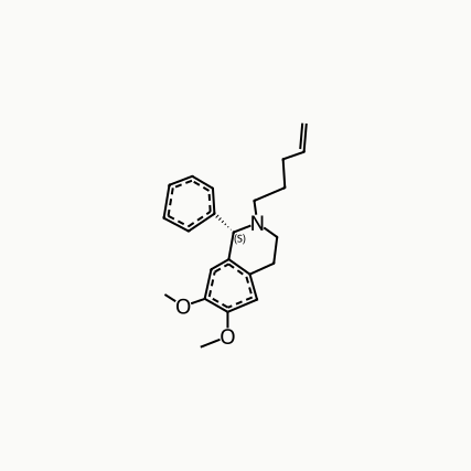 C=CCCCN1CCc2cc(OC)c(OC)cc2[C@@H]1c1ccccc1